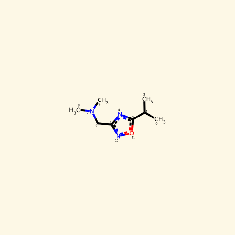 CC(C)c1nc(CN(C)C)no1